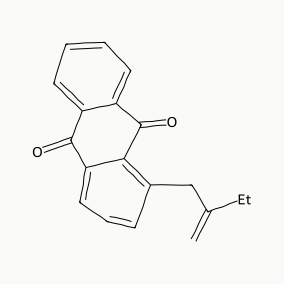 C=C(CC)Cc1cccc2c1C(=O)c1ccccc1C2=O